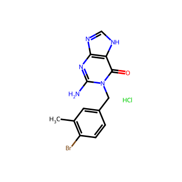 Cc1cc(Cn2c(N)nc3nc[nH]c3c2=O)ccc1Br.Cl